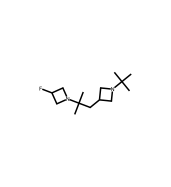 CC(C)(C)N1CC(CC(C)(C)N2CC(F)C2)C1